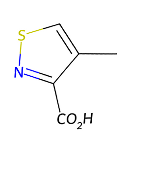 Cc1csnc1C(=O)O